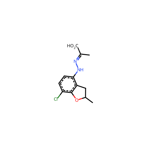 CC(=NNc1ccc(Cl)c2c1CC(C)O2)C(=O)O